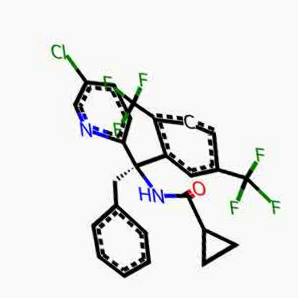 O=C(N[C@@](Cc1ccccc1)(c1ccc(Cl)cn1)c1cc(C(F)(F)F)ccc1C(F)(F)F)C1CC1